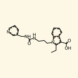 CCc1c(C(=O)O)c2ccccc2n1CCCNC(=O)NCc1cccnc1